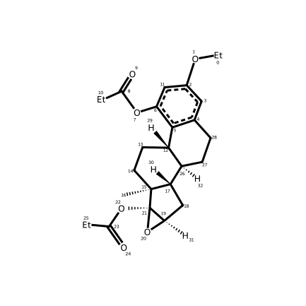 CCOc1cc2c(c(OC(=O)CC)c1)[C@H]1CC[C@@]3(C)[C@@H](C[C@H]4O[C@]43OC(=O)CC)[C@@H]1CC2